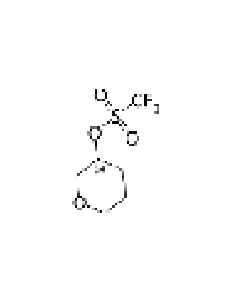 O=S(=O)(O[C@H]1CCCOC1)C(F)(F)F